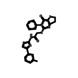 Cc1cccc(-c2csc(NC(=O)CSc3nc4c(c(=O)n3-c3ccccc3)SCC4)n2)c1